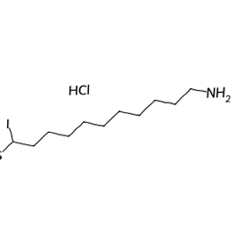 Cl.NCCCCCCCCCCC(S)I